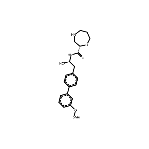 CSOc1cccc(-c2ccc(C[C@@H](C#N)NC(=O)[C@@H]3CNCCCO3)cc2)c1